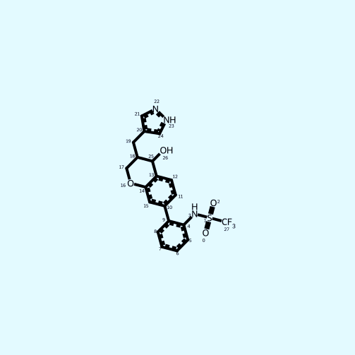 O=S(=O)(Nc1ccccc1-c1ccc2c(c1)OCC(Cc1cn[nH]c1)C2O)C(F)(F)F